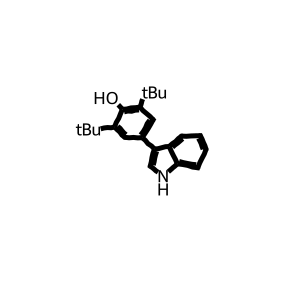 CC(C)(C)c1cc(-c2c[nH]c3ccccc23)cc(C(C)(C)C)c1O